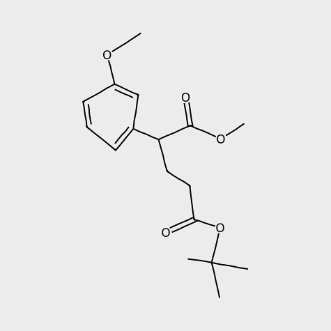 COC(=O)C(CCC(=O)OC(C)(C)C)c1cccc(OC)c1